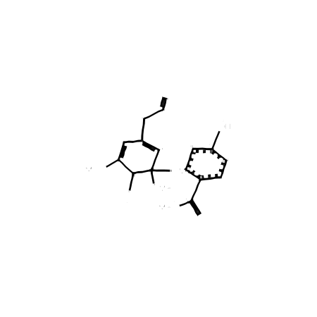 C=CCC1=CC(OC)(OC)C(O)C(OC)=C1.COC(=O)c1ccc(O)cc1